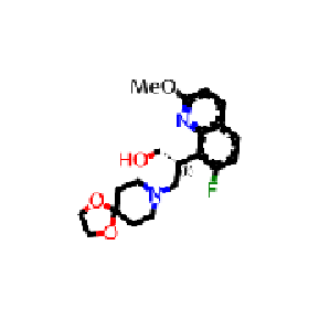 COc1ccc2ccc(F)c([C@@H](CO)CN3CCC4(CC3)OCCO4)c2n1